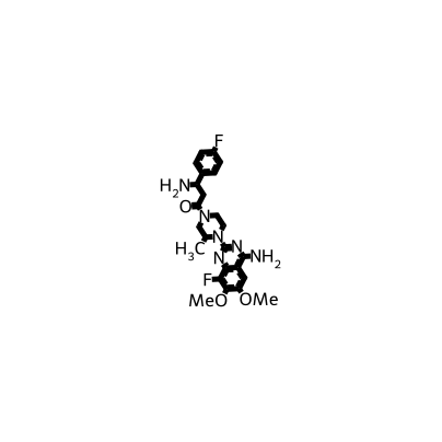 COc1cc2c(N)nc(N3CCN(C(=O)CC(N)c4ccc(F)cc4)CC3C)nc2c(F)c1OC